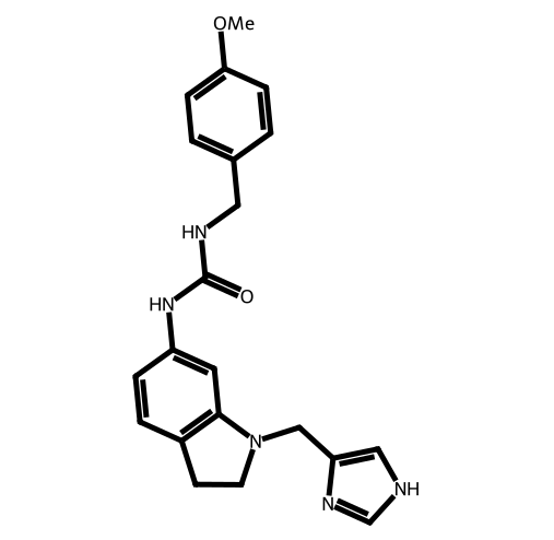 COc1ccc(CNC(=O)Nc2ccc3c(c2)N(Cc2c[nH]cn2)CC3)cc1